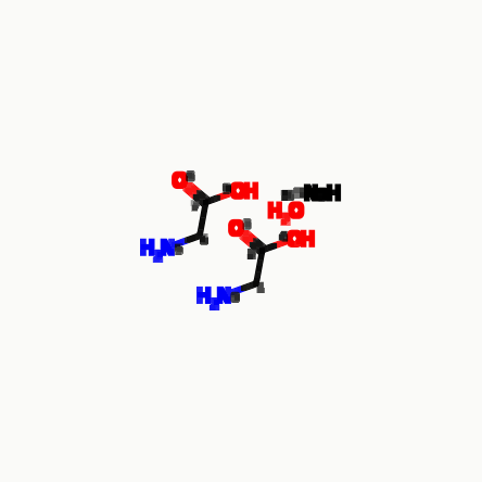 NCC(=O)O.NCC(=O)O.O.[NaH]